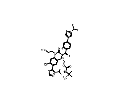 CC(C)(C)CCNC(=N)N(C(=O)c1ccc(-c2cnn(C(F)F)c2)cc1)[C@H](COC(=O)NC(C)(C)C(F)(F)F)c1ccc(Cl)c(-c2ncnn2C(F)F)c1